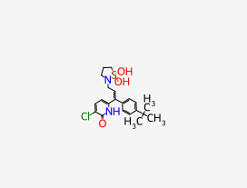 CC(C)(C)c1ccc(C(=CCN2CCCS2(O)O)c2ccc(Cl)c(=O)[nH]2)cc1